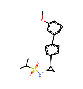 COc1cccc(-c2ccc([C@H]3C[C@@H]3NS(=O)(=O)C(C)C)cc2)c1